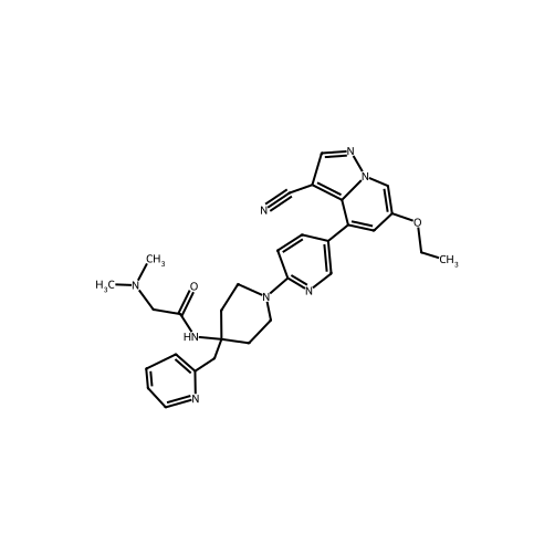 CCOc1cc(-c2ccc(N3CCC(Cc4ccccn4)(NC(=O)CN(C)C)CC3)nc2)c2c(C#N)cnn2c1